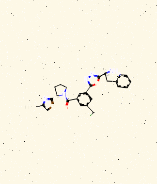 Cc1csc([C@H]2CCCN2C(=O)c2cc(CF)cc(-c3nnc([C@](C)(N)Cc4ccccc4)o3)c2)n1